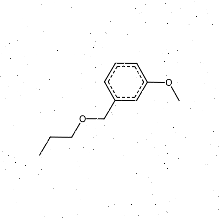 CCCOCc1cccc(OC)c1